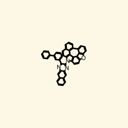 c1ccc(-c2cccc(-c3nc4cc5ccccc5cc4nc3-n3c4ccc5cccc6c5c4c4c5c(ccc43)oc3cccc-6c35)c2)cc1